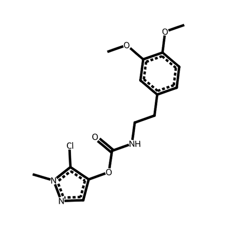 COc1ccc(CCNC(=O)Oc2cnn(C)c2Cl)cc1OC